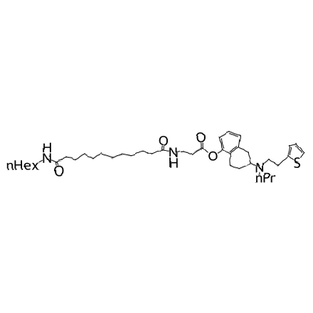 CCCCCCNC(=O)CCCCCCCCCCC(=O)NCCC(=O)Oc1cccc2c1CCC(N(CCC)CCc1cccs1)C2